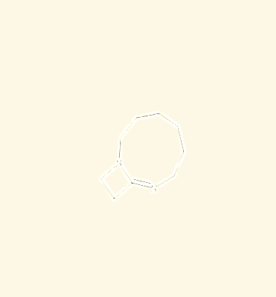 C1CCCN2CC/C2=N/CC1